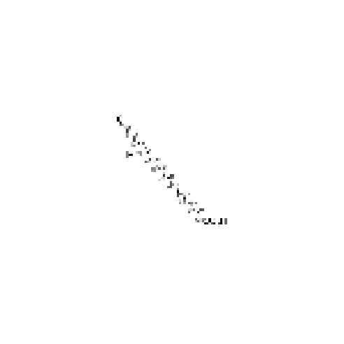 CC=CCC=CCC(O)CCCCCCCCCCCCCCCCC(=O)O